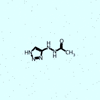 CC(=O)NNc1c[nH]nn1